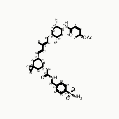 CC(=O)OC(C)/C=C\C(=O)N[C@@H]1C[C@H](C)[C@H](C/C=C(C)/C=C/[C@@H]2C[C@]3(CO3)C[C@@H](CC(=O)NCc3ccc(S(N)(=O)=O)cc3)O2)O[C@@H]1C